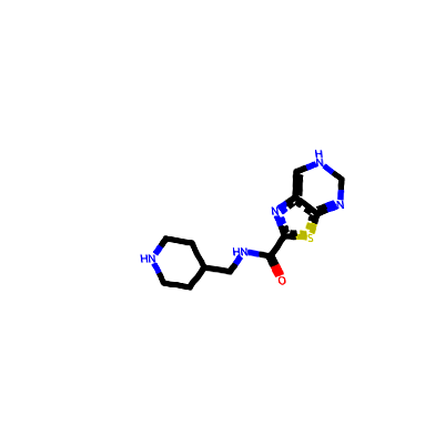 O=C(NCC1CCNCC1)c1nc2c(s1)=NCNC=2